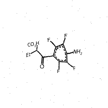 CCC(C(=O)O)C(=O)c1c(F)c(F)c(N)c(F)c1F